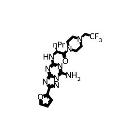 CCC[C@H](Nc1nc(N)n2nc(-c3ccco3)nc2n1)C(=O)N1CCN(CC(F)(F)F)CC1